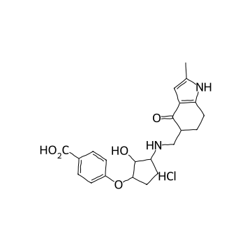 Cc1cc2c([nH]1)CCC(CNC1CCC(Oc3ccc(C(=O)O)cc3)C1O)C2=O.Cl